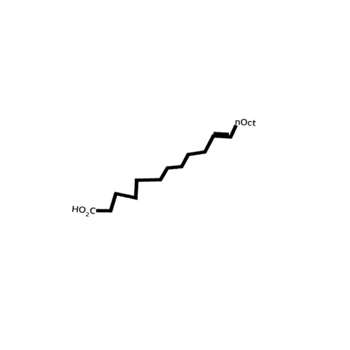 CCCCCCCCC=CCCCCCCCCCC(=O)O